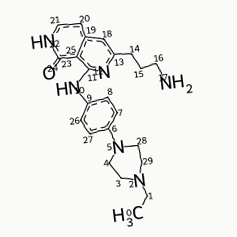 CCN1CCN(c2ccc(Nc3nc(CCCN)cc4cc[nH]c(=O)c34)cc2)CC1